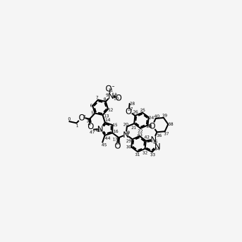 CCOC(=O)c1ccc([N+](=O)[O-])cc1-c1cc(C(=O)N(Cc2ccccc2OC)c2ccc3cnn(C4CCCCO4)c3c2)c(C)n1C